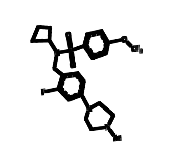 CC(=O)N1CCN(c2ccc(CN(C3CCC3)S(=O)(=O)c3ccc(OC(F)(F)F)cc3)c(F)c2)CC1